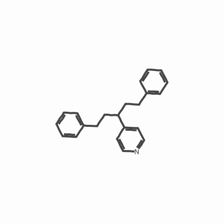 c1ccc(CCC(CCc2ccccc2)c2ccncc2)cc1